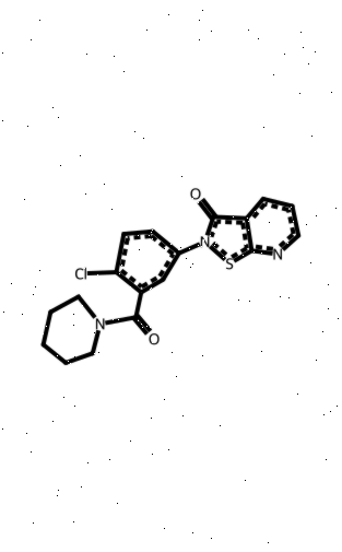 O=C(c1cc(-n2sc3ncccc3c2=O)ccc1Cl)N1CCCCC1